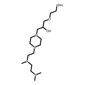 CCCCCCCCCCCCOCC(O)CN1CCN(CCN(C)CCN(C)C)CC1